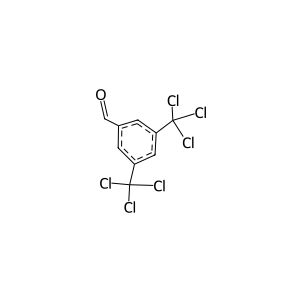 O=Cc1cc(C(Cl)(Cl)Cl)cc(C(Cl)(Cl)Cl)c1